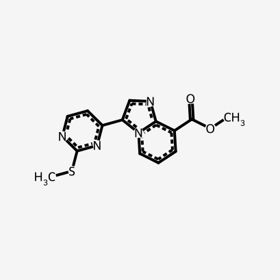 COC(=O)c1cccn2c(-c3ccnc(SC)n3)cnc12